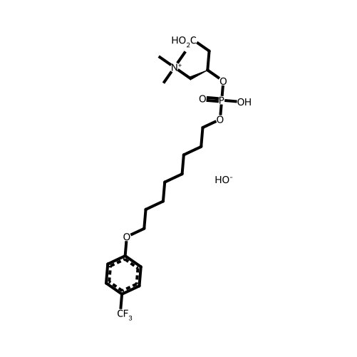 C[N+](C)(C)C[C@@H](CC(=O)O)OP(=O)(O)OCCCCCCCCOc1ccc(C(F)(F)F)cc1.[OH-]